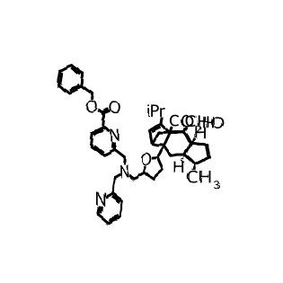 CC(C)C1=CC2CC3(C=O)[C@@H]4CC[C@@H](C)[C@H]4CC2(C2CCC(CN(Cc4ccccn4)Cc4cccc(C(=O)OCc5ccccc5)n4)O2)C13C(=O)O